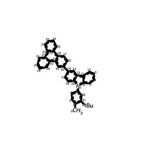 Cc1ccc(-n2c3ccccc3c3cc(-c4ccc5c6ccccc6c6ccccc6c5c4)ccc32)cc1C(C)(C)C